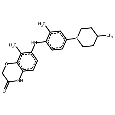 Cc1cc(N2CCC(C(F)(F)F)CC2)ccc1Nc1ccc2c(c1C)OCC(=O)N2